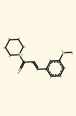 COc1cccc(/C=C/C(=O)N2CCCCC2)c1